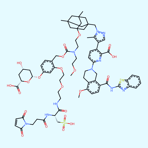 COCCN(CCOC12CC3(C)CC(C)(CC(Cn4ncc(-c5ccc(N6CCc7c(OC)ccc(C(=O)Nc8nc9ccccc9s8)c7C6)nc5C(=O)O)c4C)(C3)C1)C2)C(=O)OCc1ccc(O[C@H]2C[C@@H](O)C[C@@H](C(=O)O)O2)cc1OCCOCCNC(=O)[C@H](CS(=O)(=O)O)NC(=O)CCN1C(=O)C=CC1=O